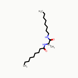 CCCCCCCCNC(=O)[C@H](C)NC(=O)CCCCCCCC